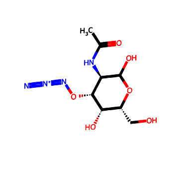 CC(=O)N[C@H]1C(O)O[C@H](CO)[C@H](O)[C@@H]1ON=[N+]=[N-]